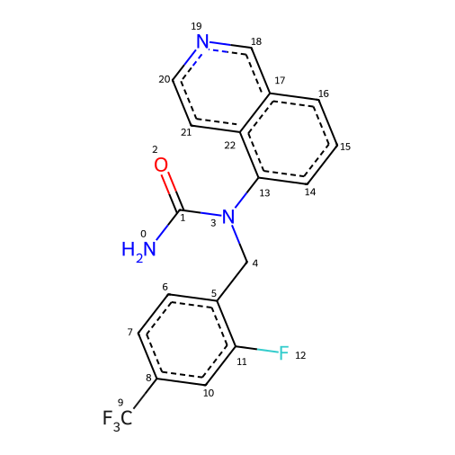 NC(=O)N(Cc1ccc(C(F)(F)F)cc1F)c1cccc2cnccc12